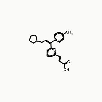 Cc1ccc(C(=CCN2CCCC2)c2cccc(C=CC(=O)O)n2)cc1